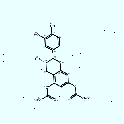 CCCCCCCCCC(=O)Oc1cc(OC(=O)CCCCCCCCC)c2c(c1)O[C@@H](c1ccc(O)c(O)c1)[C@@H](O)C2